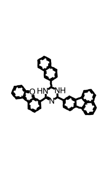 c1ccc2cc(C3NC(c4cccc5c4oc4ccccc45)=NC(c4ccc5c(c4)-c4cccc6cccc-5c46)N3)ccc2c1